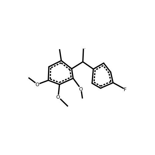 [CH2]C(c1ccc(F)cc1)c1c(C)cc(OC)c(OC)c1OC